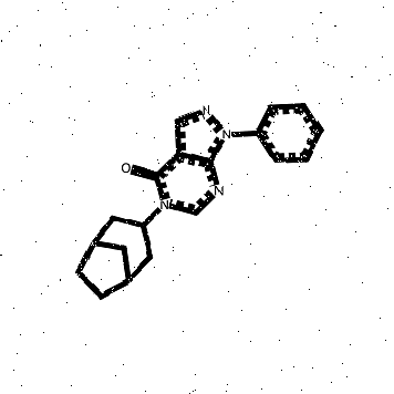 O=c1c2cnn(-c3ccccc3)c2ncn1C1CC2CCC(C2)C1